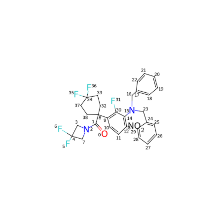 O=C(N1CC(F)(F)C1)C1(c2ccc([N+](=O)[O-])c(N(Cc3ccccc3)Cc3ccccc3)c2F)CCC(F)(F)CC1